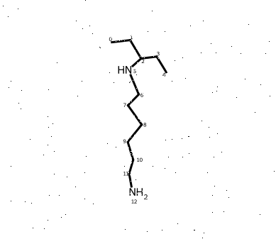 CCC(CC)NCCCCCCN